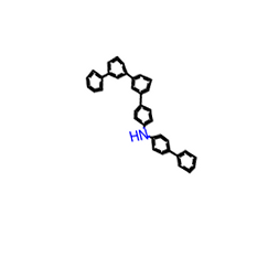 c1ccc(-c2ccc(Nc3ccc(-c4cccc(-c5cccc(-c6ccccc6)c5)c4)cc3)cc2)cc1